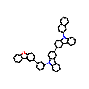 c1cc(-c2ccc3oc4ccccc4c3c2)cc(-n2c3ccccc3c3cc(-c4ccc5c(c4)c4ccccc4n5-c4ccc5ccccc5c4)ccc32)c1